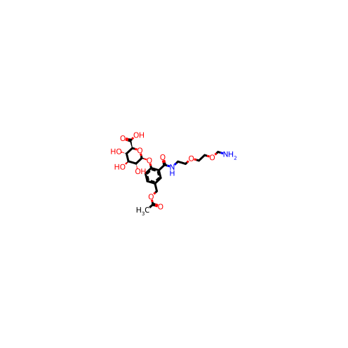 CC(=O)OCc1ccc(O[C@@H]2O[C@H](C(=O)O)[C@@H](O)[C@H](O)[C@H]2O)c(C(=O)NCCOCCOCN)c1